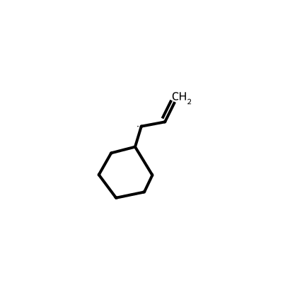 C=C[CH]C1CCCCC1